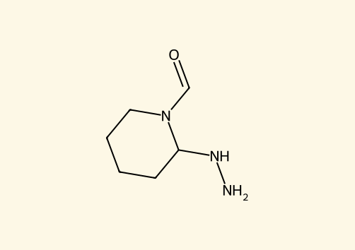 NNC1CCCCN1C=O